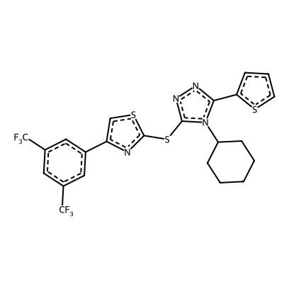 FC(F)(F)c1cc(-c2csc(Sc3nnc(-c4cccs4)n3C3CCCCC3)n2)cc(C(F)(F)F)c1